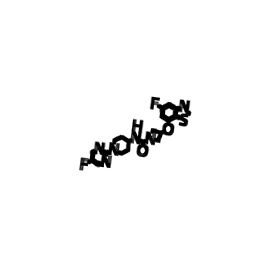 O=C(NC1CCN(c2ncc(F)cn2)CC1)N1CC(Oc2cc(F)cc3ncsc23)C1